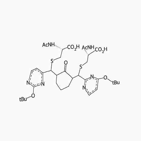 CC(=O)N[C@@H](CSC(c1ccnc(OC(C)(C)C)n1)C1CCCC(C(SC[C@H](NC(C)=O)C(=O)O)c2nccc(OC(C)(C)C)n2)C1=O)C(=O)O